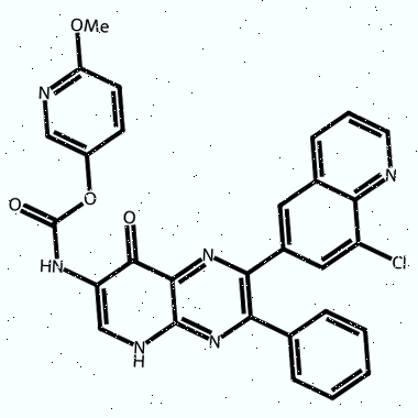 COc1ccc(OC(=O)Nc2c[nH]c3nc(-c4ccccc4)c(-c4cc(Cl)c5ncccc5c4)nc3c2=O)cn1